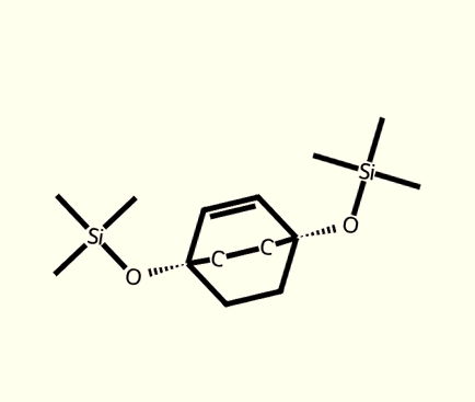 C[Si](C)(C)O[C@]12C=C[C@](O[Si](C)(C)C)(CC1)CC2